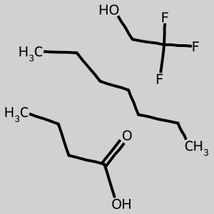 CCCC(=O)O.CCCCCCC.OCC(F)(F)F